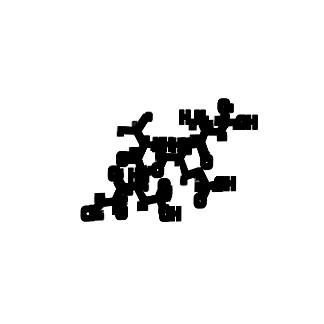 CC(C)[C@H](NC(=O)[C@H](CCC(=O)O)NC(=O)[C@@H](N)CC(=O)O)C(=O)N[C@@H](CC(=O)O)C(=O)C(=O)CCl